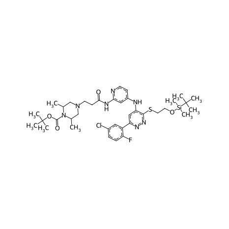 CC1CN(CCC(=O)Nc2cc(Nc3cc(-c4cc(Cl)ccc4F)nnc3SCCO[Si](C)(C)C(C)(C)C)ccn2)CC(C)N1C(=O)OC(C)(C)C